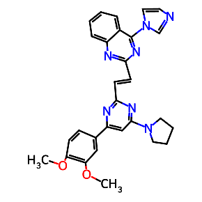 COc1ccc(-c2cc(N3CCCC3)nc(/C=C/c3nc(-n4ccnc4)c4ccccc4n3)n2)cc1OC